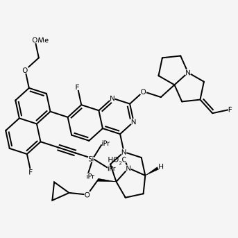 COCOc1cc(-c2ccc3c(N4C[C@@H]5CC[C@](COC6CC6)(C4)N5C(=O)O)nc(OCC45CCCN4C/C(=C\F)C5)nc3c2F)c2c(C#C[Si](C(C)C)(C(C)C)C(C)C)c(F)ccc2c1